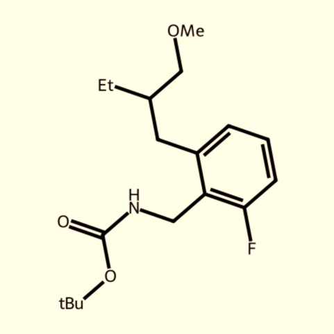 CCC(COC)Cc1cccc(F)c1CNC(=O)OC(C)(C)C